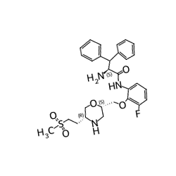 CS(=O)(=O)CC[C@@H]1CO[C@H](COc2c(F)cccc2NC(=O)[C@@H](N)C(c2ccccc2)c2ccccc2)CN1